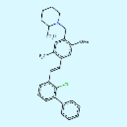 COc1cc(C=Cc2cccc(-c3ccccc3)c2Cl)c(C(F)(F)F)cc1CN1CCCCC1C(=O)O